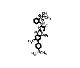 Cc1cc(Nc2ncc(Cl)c(Nc3ccccc3S(=O)(=O)N(C)C)n2)c(OC(C)C)cc1C1CCC(N(C)C)CC1